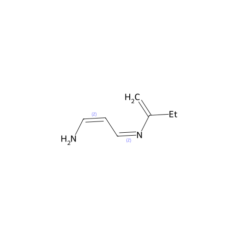 C=C(CC)/N=C\C=C/N